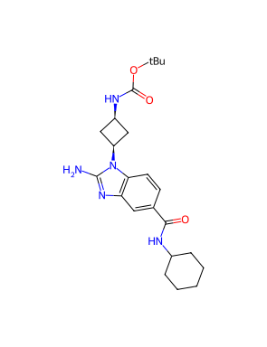 CC(C)(C)OC(=O)N[C@H]1C[C@@H](n2c(N)nc3cc(C(=O)NC4CCCCC4)ccc32)C1